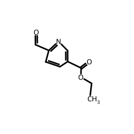 CCOC(=O)c1ccc(C=O)nc1